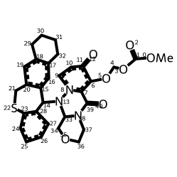 COC(=O)OCOc1c2n(ccc1=O)N(C1c3cc4c(cc3CSc3ccccc31)CCCC4)C1COCCN1C2=O